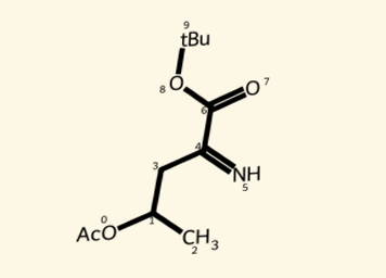 CC(=O)OC(C)CC(=N)C(=O)OC(C)(C)C